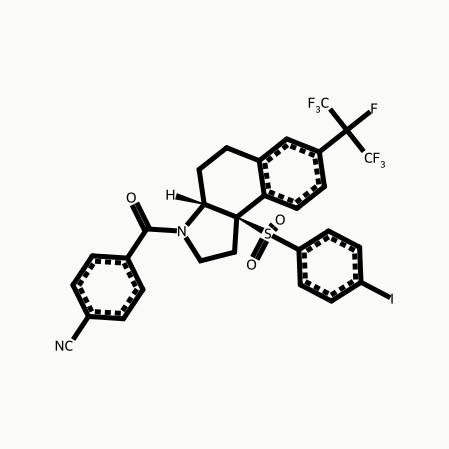 N#Cc1ccc(C(=O)N2CC[C@@]3(S(=O)(=O)c4ccc(I)cc4)c4ccc(C(F)(C(F)(F)F)C(F)(F)F)cc4CC[C@@H]23)cc1